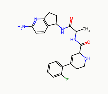 CC(NC(=O)C1C=C(c2ccccc2F)CCN1)C(=O)NC1CCc2nc(N)ccc21